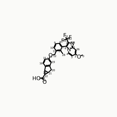 COc1ccn2c(-c3cccc(COc4ccc5c(c4)CC4C(C(=O)O)C54)c3C)c(C(F)(F)F)nc2c1